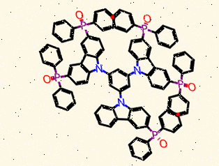 O=P(c1ccccc1)(c1ccccc1)c1ccc2c(c1)c1ccccc1n2-c1cc(-n2c3ccc(P(=O)(c4ccccc4)c4ccccc4)cc3c3cc(P(=O)(c4ccccc4)c4ccccc4)ccc32)cc(-n2c3ccc(P(=O)(c4ccccc4)c4ccccc4)cc3c3cc(P(=O)(c4ccccc4)c4ccccc4)ccc32)c1